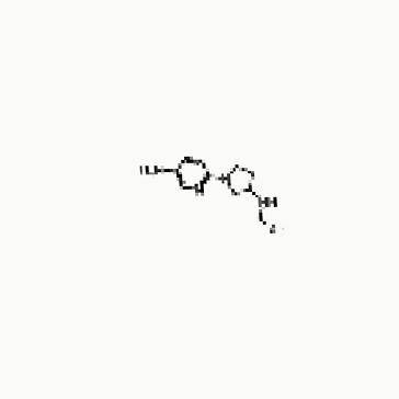 CC(=O)CNC1CCN(c2ccc(N)cn2)C1